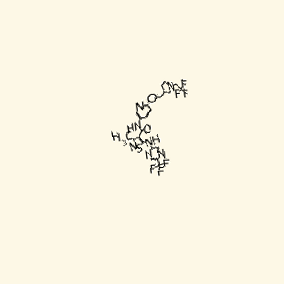 Cc1nsc(Nc2cnc(C(F)(F)F)cn2)c1C(=O)Nc1ccc(OCC2CCN(CC(F)(F)F)C2)nc1